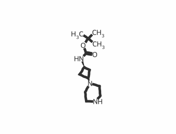 CC(C)(C)OC(=O)N[C@H]1C[C@@H](N2CCNCC2)C1